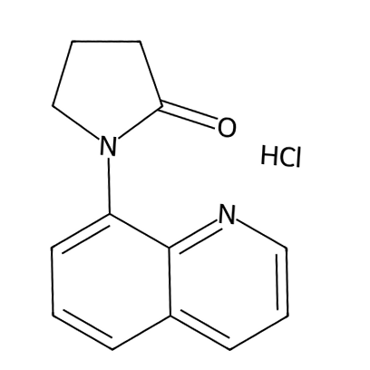 Cl.O=C1CCCN1c1cccc2cccnc12